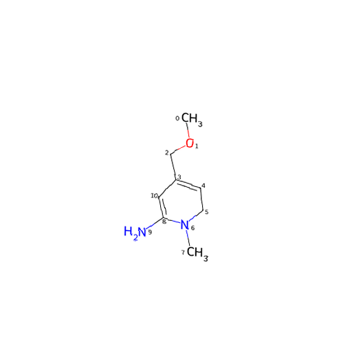 COCC1=CCN(C)C(N)=C1